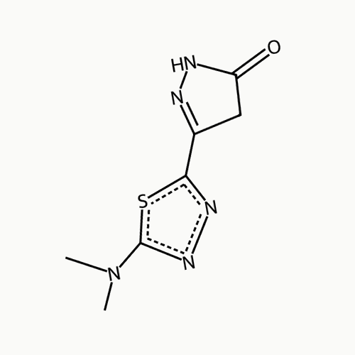 CN(C)c1nnc(C2=NNC(=O)C2)s1